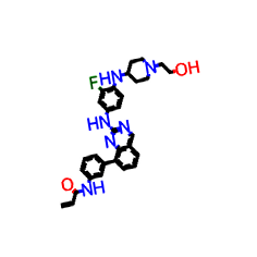 C=CC(=O)Nc1cccc(-c2cccc3cnc(Nc4ccc(NC5CCN(CCO)CC5)c(F)c4)nc23)c1